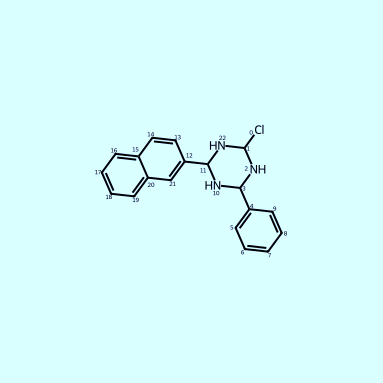 ClC1NC(c2ccccc2)NC(c2ccc3ccccc3c2)N1